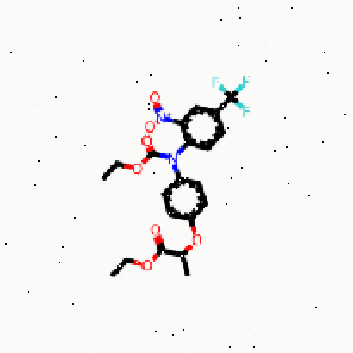 CCOC(=O)C(C)Oc1ccc(N(C(=O)OCC)c2ccc(C(F)(F)F)cc2[N+](=O)[O-])cc1